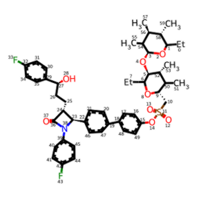 CCC1O[C@@H](O[C@@H]2C(CC)O[C@@H](CS(=O)(=O)Oc3ccc(-c4ccc([C@@H]5[C@@H](CC[C@H](O)c6ccc(F)cc6)C(=O)N5c5ccc(F)cc5)cc4)cc3)C(C)[C@H]2C)C(C)[C@@H](C)[C@@H]1C